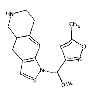 COC(c1cc(C)on1)n1ncc2c1C=C1CCNCC1C2